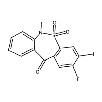 CN1c2ccccc2C(=O)c2cc(F)c(I)cc2S1(=O)=O